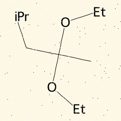 CCOC(C)(CC(C)C)OCC